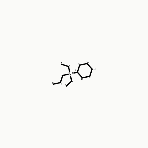 CCC[N+](CC)(CC)C1CCCCC1